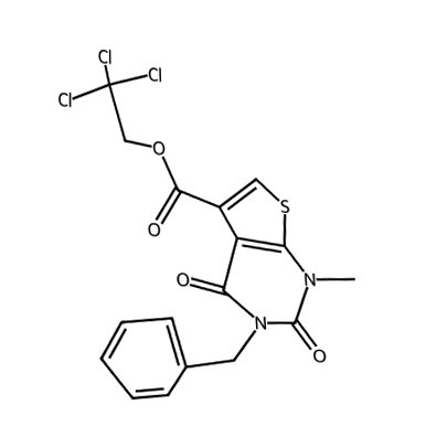 Cn1c(=O)n(Cc2ccccc2)c(=O)c2c(C(=O)OCC(Cl)(Cl)Cl)csc21